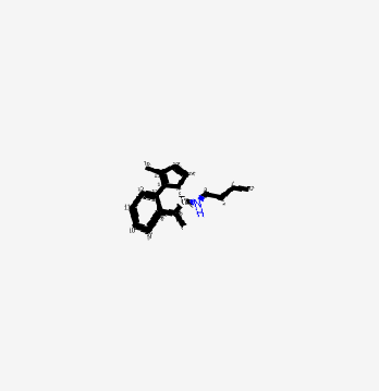 CCCC[NH][Ti][CH](C)c1ccccc1C1=C(C)C=CC1